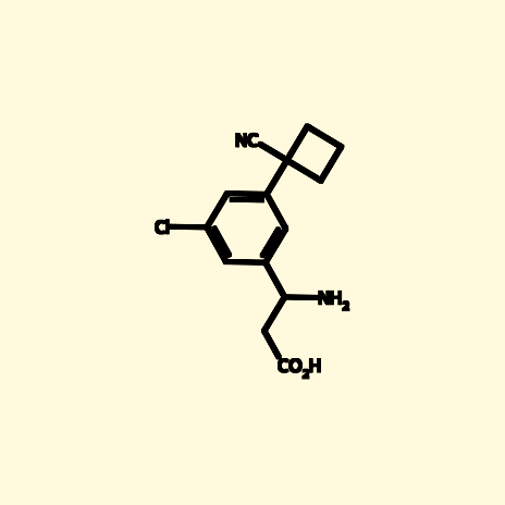 N#CC1(c2cc(Cl)cc(C(N)CC(=O)O)c2)CCC1